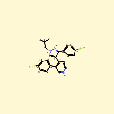 CC(C)Cn1cc(-c2ccncc2-c2ccc(F)cc2)c(-c2ccc(F)cc2)n1